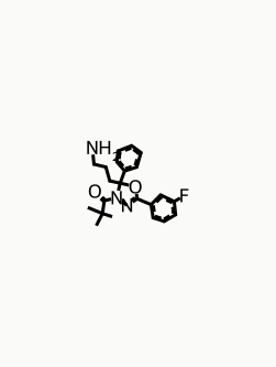 CC(C)(C)C(=O)N1N=C(c2cccc(F)c2)OC1(CCCN)c1ccccc1